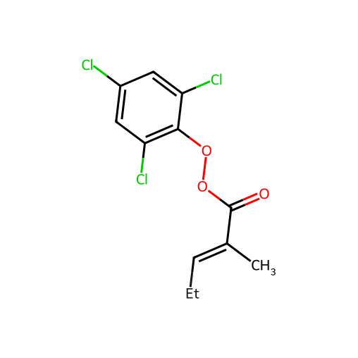 CCC=C(C)C(=O)OOc1c(Cl)cc(Cl)cc1Cl